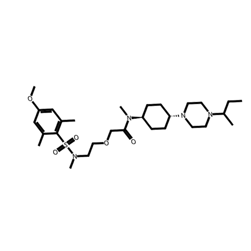 CCC(C)N1CCN([C@H]2CC[C@H](N(C)C(=O)COCCN(C)S(=O)(=O)c3c(C)cc(OC)cc3C)CC2)CC1